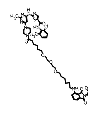 Cc1nc(Nc2ncc(C(=O)Nc3c(C)cccc3Cl)s2)cc(N2CCN(C(=O)CCCCCOCCOCCOCCCCCCNc3cccc4c3C(=O)N(C3CCC(=O)NC3=O)C4=O)CC2)n1